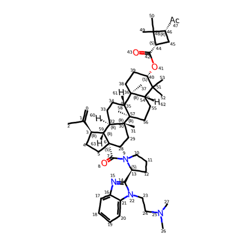 C=C(C)[C@@H]1CC[C@]2(C(=O)N3CCC[C@H]3c3nc4ccccc4n3CCN(C)C)CC[C@]3(C)[C@H](CC[C@@H]4[C@@]5(C)CC[C@H](OC(=O)[C@H]6C[C@@H](C(C)=O)C6(C)C)C(C)(C)[C@@H]5CC[C@]43C)[C@@H]12